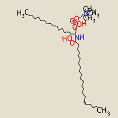 CCCC/C=C\CCCCCCCCCCCCCCCC(=O)NC(COP(=O)(O)OCC[N+](C)(C)C)C(O)CCCCCCCCCCCCCCC